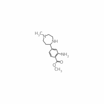 COC(=O)c1ccc(C2CCN(C)CCN2)cc1N